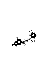 Cc1cc2cc(C(=O)OCOB(O)c3cccc(C#N)c3)cc(I)c2o1